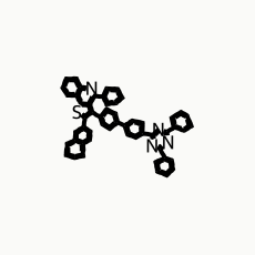 c1ccc(-c2nc(-c3ccccc3)nc(-c3ccc(-c4ccc(-c5c(-c6ccc7ccccc7c6)sc6c5c(-c5ccccc5)nc5ccccc56)cc4)cc3)n2)cc1